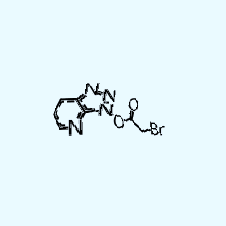 O=C(CBr)On1nnc2cccnc21